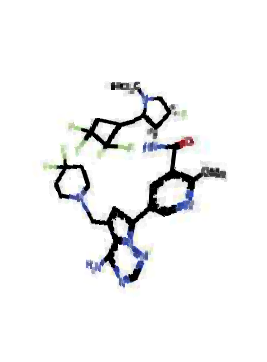 COc1ncc(-c2cc(CN3CCC(F)(F)CC3)c3c(N)ncnn23)cc1C(=O)N[C@@H]1C(C2CC(F)(F)C2(F)F)N(C(=O)O)C[C@@H]1F